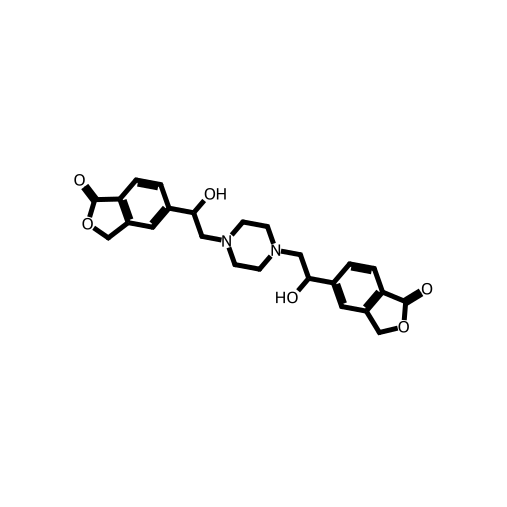 O=C1OCc2cc(C(O)CN3CCN(CC(O)c4ccc5c(c4)COC5=O)CC3)ccc21